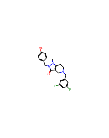 Cn1c2c(c(=O)n1Cc1ccc(O)cc1)CN(Cc1cc(F)cc(F)c1)CC2